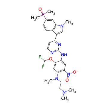 CN(C)CCN(C)c1cc(OC(F)F)c(Nc2nccc(-c3cn(C)c4cc(P(C)(C)=O)ccc34)n2)cc1[N+](=O)[O-]